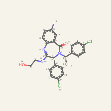 C[C@H](c1ccc(Cl)cc1)N1C(=O)c2cc(I)ccc2N=C(NCCO)[C@@H]1c1ccc(Cl)cc1